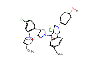 CCO[C@H]1CC[C@H](N2C[C@@H](c3ccc(OC)cc3)[C@](F)(C(=O)N3C[C@H](COC)[C@@H](c4ccc(Cl)cc4N4CCC(C(=O)O)CC4)C3)C2)CC1